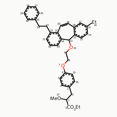 CCOC(=O)C(Cc1ccc(OCCOC2c3ccc(CC)cc3C=Cc3c(CCc4ccccc4)cccc32)cc1)OC